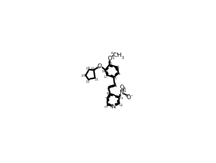 COc1ccc(C=Cc2ccncc2[N+](=O)[O-])cc1OC1CCCC1